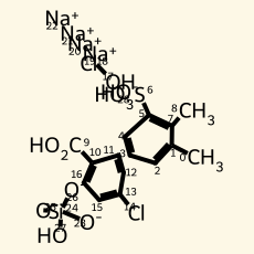 Cc1cccc(S(=O)(=O)O)c1C.O=C(O)c1ccc(Cl)cc1.OCl.[Na+].[Na+].[Na+].[Na+].[O-][Si]([O-])([O-])O.[OH-]